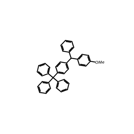 COc1ccc([C](c2ccccc2)c2ccc(C(c3ccccc3)(c3ccccc3)c3ccccc3)cc2)cc1